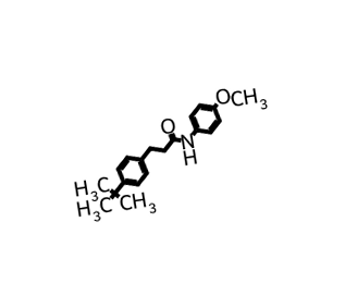 COc1ccc(NC(=O)CCc2ccc(C(C)(C)C)cc2)cc1